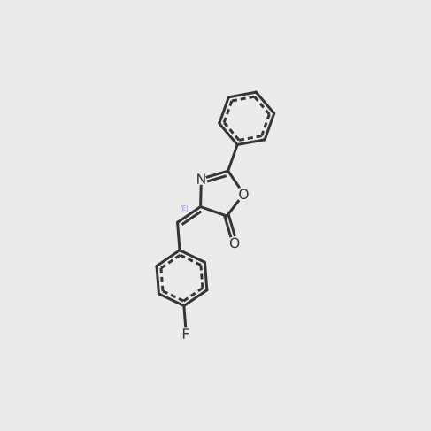 O=C1OC(c2ccccc2)=N/C1=C/c1ccc(F)cc1